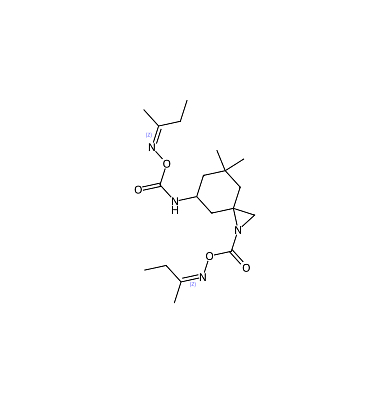 CC/C(C)=N\OC(=O)NC1CC(C)(C)CC2(C1)CN2C(=O)O/N=C(/C)CC